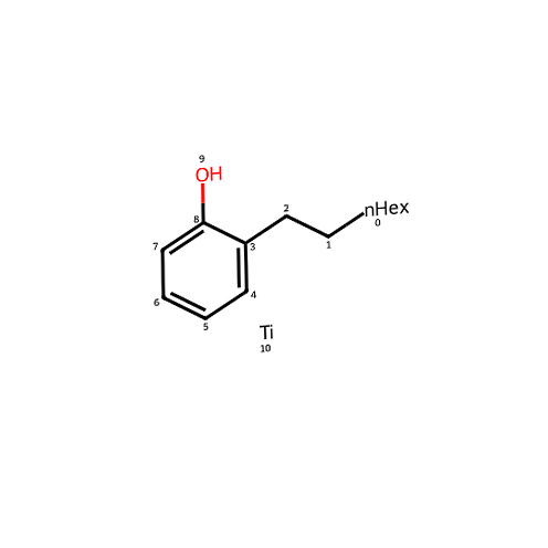 CCCCCCCCc1ccccc1O.[Ti]